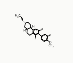 C/C=C/[C@@H]1CC[C@@H]2c3cc(F)c(-c4ccc(OC(F)(F)F)c(F)c4)c(F)c3CC[C@@H]2C1